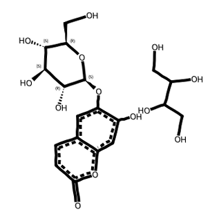 O=c1ccc2cc(O[C@@H]3O[C@H](CO)[C@@H](O)[C@H](O)[C@H]3O)c(O)cc2o1.OCC(O)C(O)CO